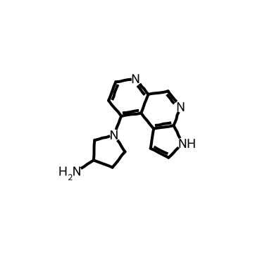 NC1CCN(c2ccnc3cnc4[nH]ccc4c23)C1